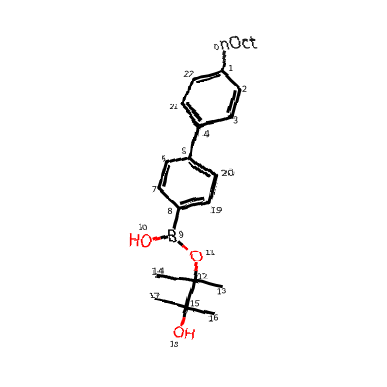 CCCCCCCCc1ccc(-c2ccc(B(O)OC(C)(C)C(C)(C)O)cc2)cc1